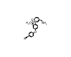 CS(=O)(=O)[N+]1(c2ccc(Oc3ccc(C#N)cc3)cc2)C=C(CN)C=CC1